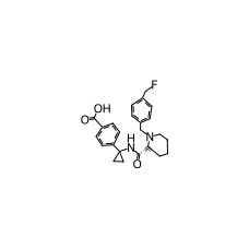 O=C(O)c1ccc(C2(NC(=O)[C@H]3CCCCN3Cc3ccc(CF)cc3)CC2)cc1